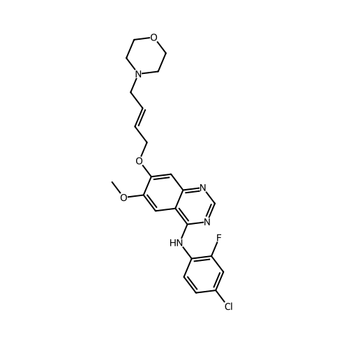 COc1cc2c(Nc3ccc(Cl)cc3F)ncnc2cc1OCC=CCN1CCOCC1